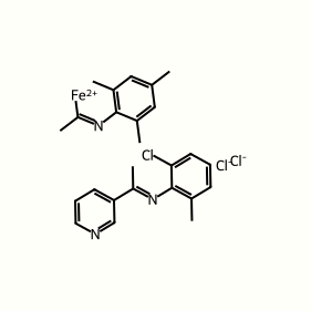 CC(=Nc1c(C)cccc1Cl)c1cccnc1.C[C]([Fe+2])=Nc1c(C)cc(C)cc1C.[Cl-].[Cl-]